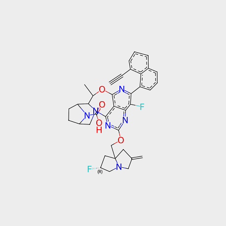 C#Cc1cccc2cccc(-c3nc4c5c(nc(OCC67CC(=C)CN6C[C@H](F)C7)nc5c3F)N3CC5CCC(C3C(C)O4)N5C(=O)O)c12